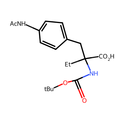 CCC(Cc1ccc(NC(C)=O)cc1)(NC(=O)OC(C)(C)C)C(=O)O